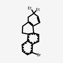 CCC1(CC)C=CC2=C(CCc3c2ccc2c(Br)cccc32)C1